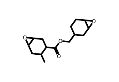 CC1CC2OC2CC1C(=O)OCC1CCC2OC2C1